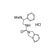 CNC(CNC(=O)N1Cc2ccccc2C1)c1ccccc1.Cl